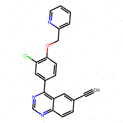 C#Cc1ccc2ncnc(-c3ccc(OCc4ccccn4)c(Cl)c3)c2c1